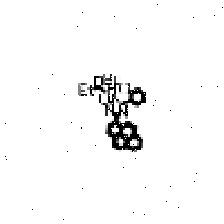 CCCCC(CC)COc1nc(-c2ccccc2O)nc(-c2ccc3ccc4cccc5ccc2c3c45)n1